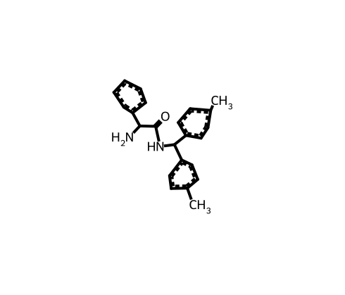 Cc1ccc(C(NC(=O)C(N)c2ccccc2)c2ccc(C)cc2)cc1